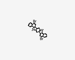 Cn1c2cc3c4cc(Br)c5ccccc5c4n(C)c3cc2c2cc(Br)c3ccccc3c21